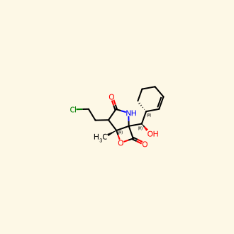 C[C@]12OC(=O)C1([C@H](O)[C@H]1C=CCCC1)NC(=O)C2CCCl